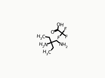 CCC(N)(CC)CN.O=C(O)C(F)(F)F